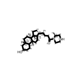 C[C@H](CCC(=O)N1CCNC[C@@H]1C)[C@H]1CC[C@H]2[C@@H]3CC[C@H]4C[C@@H](O)CC[C@]4(C)[C@H]3CC[C@]12C